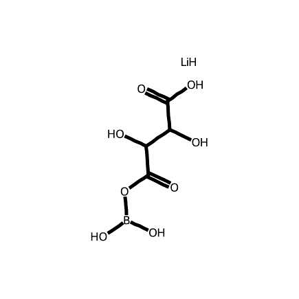 O=C(O)C(O)C(O)C(=O)OB(O)O.[LiH]